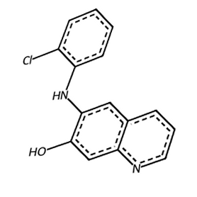 Oc1cc2ncccc2cc1Nc1ccccc1Cl